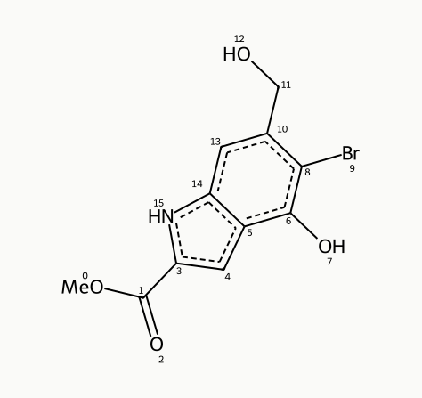 COC(=O)c1cc2c(O)c(Br)c(CO)cc2[nH]1